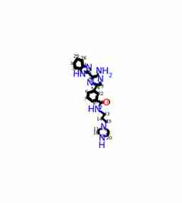 Nc1ncc(-c2cccc(C(=O)NCCCN3CCNCC3)c2)nc1-c1nc2ccccc2[nH]1